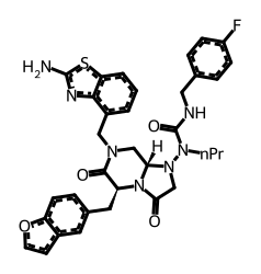 CCCN(C(=O)NCc1ccc(F)cc1)N1CC(=O)N2[C@@H](Cc3ccc4occc4c3)C(=O)N(Cc3cccc4sc(N)nc34)C[C@@H]21